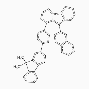 CC1(C)c2ccccc2-c2ccc(-c3ccc(-c4cccc5c6ccccc6n(-c6ccc7ccccc7c6)c45)cc3)cc21